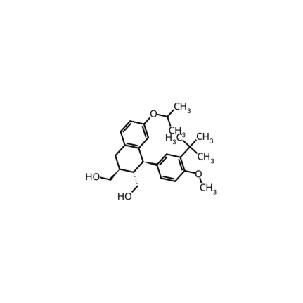 COc1ccc([C@@H]2c3cc(OC(C)C)ccc3C[C@H](CO)[C@H]2CO)cc1C(C)(C)C